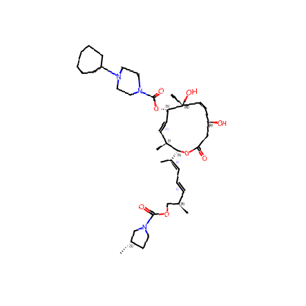 C/C(=C\C=C\[C@@H](C)COC(=O)N1CC[C@H](C)C1)[C@H]1OC(=O)C[C@H](O)CC[C@@](C)(O)[C@@H](OC(=O)N2CCN(C3CCCCCC3)CC2)/C=C/[C@@H]1C